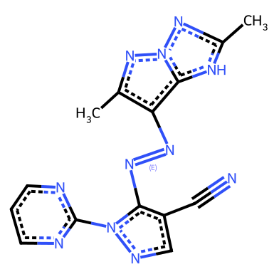 Cc1nn2nc(C)c(/N=N/c3c(C#N)cnn3-c3ncccn3)c2[nH]1